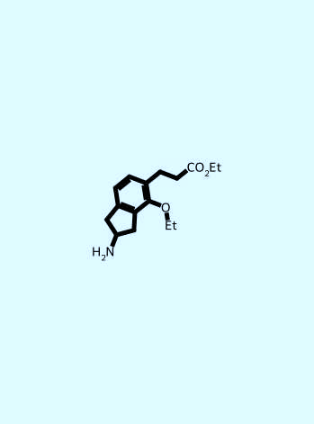 CCOC(=O)CCc1ccc2c(c1OCC)CC(N)C2